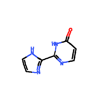 O=c1ccnc(-c2ncc[nH]2)[nH]1